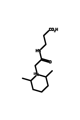 CC1CCCC(C)[15N]1CC(=O)NCCC(=O)O